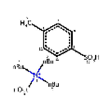 CCCCCCCC[N+](CCCC)(CCCC)CCCC.Cc1ccc(S(=O)(=O)O)cc1